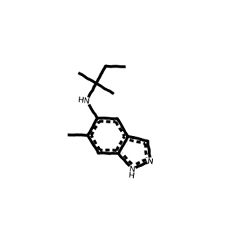 CCC(C)(C)Nc1cc2cn[nH]c2cc1C